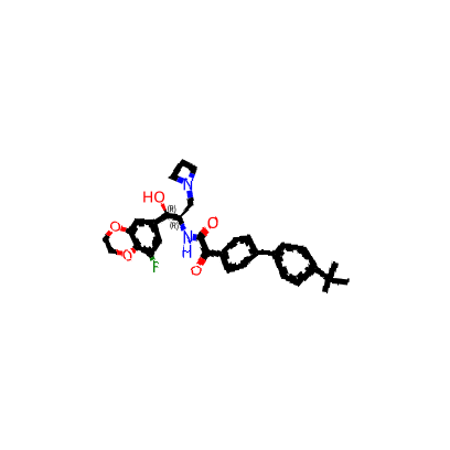 CC(C)(C)c1ccc(-c2ccc(C(=O)C(=O)N[C@H](CN3CCC3)[C@H](O)c3cc(F)c4c(c3)OCCO4)cc2)cc1